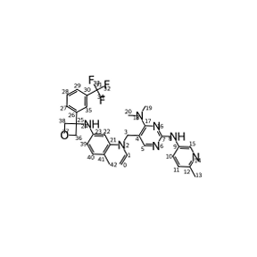 C=CN(Cc1cnc(Nc2ccc(C)nc2)nc1N(C)C)c1cc(NC2(c3cccc(C(F)(F)F)c3)COC2)ccc1C